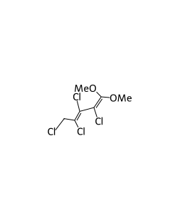 COC(OC)=C(Cl)/C(Cl)=C(\Cl)CCl